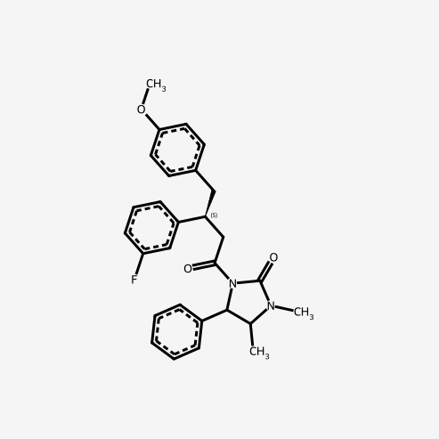 COc1ccc(C[C@@H](CC(=O)N2C(=O)N(C)C(C)C2c2ccccc2)c2cccc(F)c2)cc1